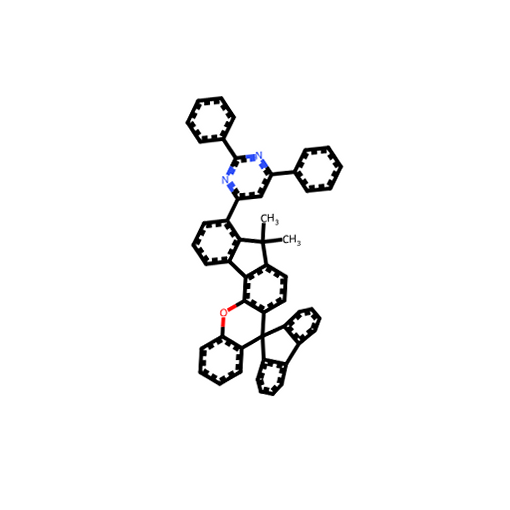 CC1(C)c2ccc3c(c2-c2cccc(-c4cc(-c5ccccc5)nc(-c5ccccc5)n4)c21)Oc1ccccc1C31c2ccccc2-c2ccccc21